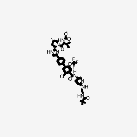 COC(=O)NC(C(=O)N1C[C@@H](C)C[C@H]1c1nc(-c2ccc(-c3cc(Cl)c(C(=O)Nc4ccc(NCCNC(=O)C(C)(C)C)nc4)cc3OC(F)(F)F)cc2)c[nH]1)C(C)C